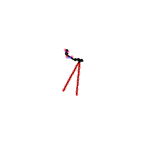 COCCOCCOCCOCCOCCOCCOCCOCCOCCOCCOCCOCCCC1(CCCOCCOCCOCCOCCOCCOCCOCCOCCOCCOCCOCCOC)c2cc(C)ccc2-c2ccc(-c3ccc(CCCC(=O)NCCCC(=O)C4CCC(CN5C(=O)C=CC5=O)CC4)cc3)cc21